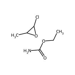 CC1OC1Cl.CCOC(N)=O